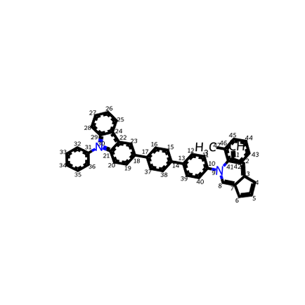 C=C/C=C1/C=C=C/C1=C/N(c1ccc(-c2ccc(-c3ccc4c(c3)c3ccccc3n4-c3ccccc3)cc2)cc1)c1ccccc1C